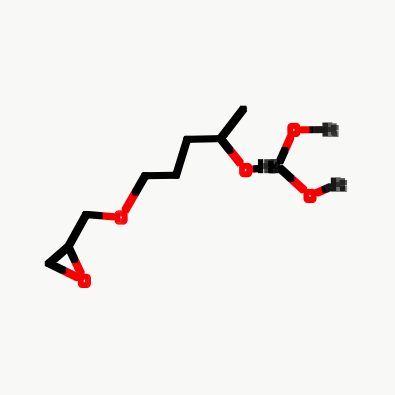 CCO[SiH](OCC)OC(C)CCCOCC1CO1